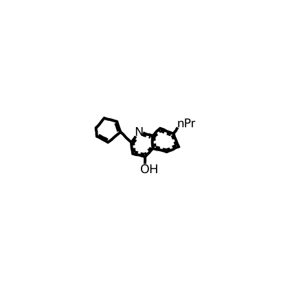 CCCc1ccc2c(O)cc(C3=CCCC=C3)nc2c1